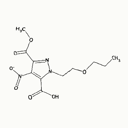 CCCOCCn1nc(C(=O)OC)c([N+](=O)[O-])c1C(=O)O